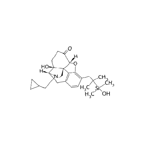 CC(C)(Cc1ccc2c3c1O[C@H]1C(=O)CC[C@@]4(O)[C@@H](C2)N(CC2CC2)CC[C@]314)[Si](C)(C)O